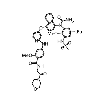 COc1cc(Nc2cc(Oc3ccc(N(C(N)=O)c4cc(C(C)(C)C)cc(NS(C)(=O)=O)c4OC)c4ccccc34)ccn2)ccc1C(=O)NCC(=O)N1CCOCC1